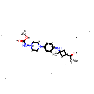 COC(=O)C1CC(C#N)(Nc2ccc(N3CCN(NC(=O)OC(C)(C)C)CC3)cc2)C1